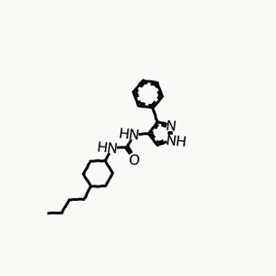 CCCCC1CCC(NC(=O)Nc2c[nH]nc2-c2ccccc2)CC1